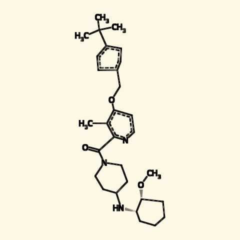 CO[C@@H]1CCCC[C@@H]1NC1CCN(C(=O)c2nccc(OCc3ccc(C(C)(C)C)cc3)c2C)CC1